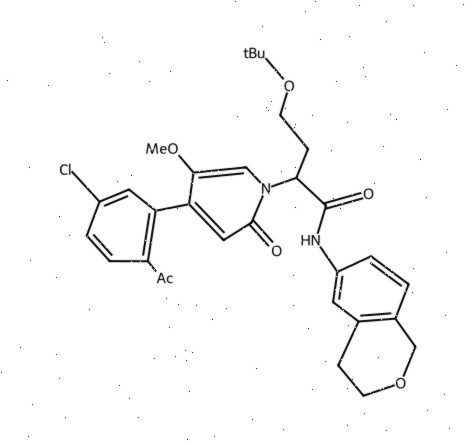 COc1cn(C(CCOC(C)(C)C)C(=O)Nc2ccc3c(c2)CCOC3)c(=O)cc1-c1cc(Cl)ccc1C(C)=O